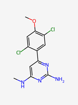 CNc1cc(-c2cc(Cl)c(OC)cc2Cl)nc(N)n1